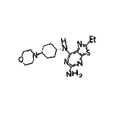 CCc1nc2c(N[C@H]3CC[C@H](N4CCOCC4)CC3)nc(N)nc2s1